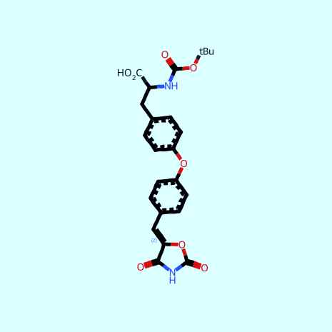 CC(C)(C)OC(=O)NC(Cc1ccc(Oc2ccc(/C=C3\OC(=O)NC3=O)cc2)cc1)C(=O)O